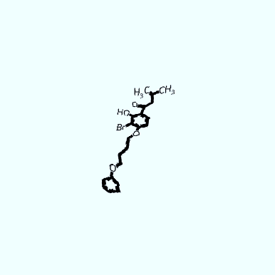 CC(C)CC(=O)c1ccc(OCCCCOc2ccccc2)c(Br)c1O